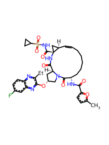 CCc1nc2ccc(F)cc2nc1O[C@@H]1C[C@H]2C(=O)N[C@]3(C(=O)NS(=O)(=O)C4CC4)C[C@H]3C=CCCCCC[C@H](NC(=O)c3ccc(C)o3)C(=O)N2C1